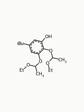 CCOC(C)Oc1cc(C(C)CC)cc(O)c1OC(C)OCC